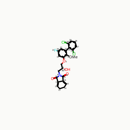 COc1c(OC[C@H](O)CN2C(=O)C3=CCCC=C3C2=O)cc(F)cc1-c1c(Cl)cccc1Cl